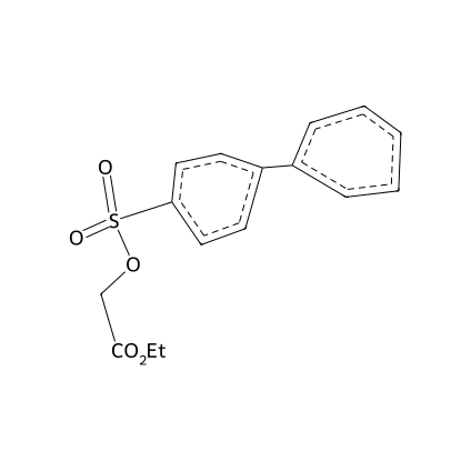 CCOC(=O)COS(=O)(=O)c1ccc(-c2ccccc2)cc1